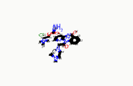 CN1CCN(CC(=O)N2c3ccccc3C(=O)Nc3cccnc32)CC1.C[N+](C)(C)CCOC(N)=O.[Cl-]